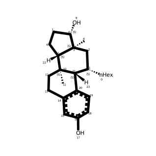 CCCCCC[C@H]1C[C@@]2(C)[C@@H](CC[C@@H]2O)[C@]2(C)CCc3cc(O)ccc3[C@@H]12